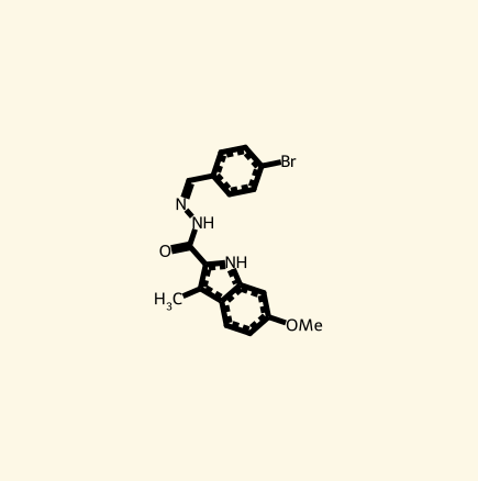 COc1ccc2c(C)c(C(=O)N/N=C\c3ccc(Br)cc3)[nH]c2c1